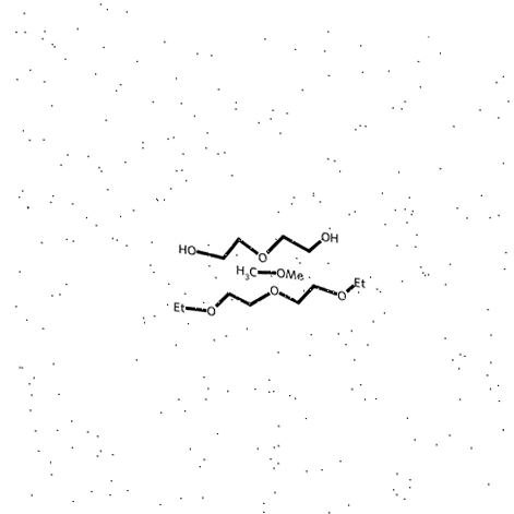 CCOCCOCCOCC.COC.OCCOCCO